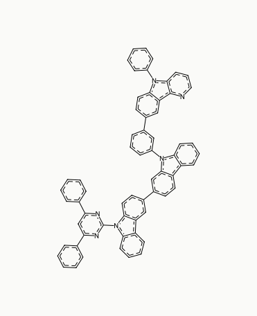 c1ccc(-c2cc(-c3ccccc3)nc(-n3c4ccccc4c4cc(-c5ccc6c7ccccc7n(-c7cccc(-c8ccc9c(c8)c8ncccc8n9-c8ccccc8)c7)c6c5)ccc43)n2)cc1